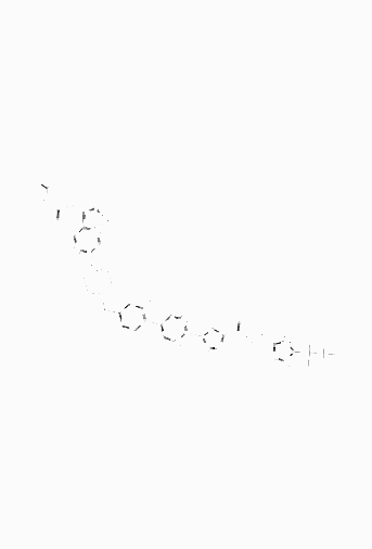 CC(c1ccc(-c2cnc(-c3cc(C(=O)NCc4nc(C(C)(C)C(F)(F)F)n[nH]4)on3)nc2)c(F)c1)N1CCN(c2cn3ncc(N4CCC(=O)NC4=O)c3cn2)CC1